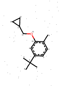 Cc1ccc(C(C)(C)C)cc1OCC1CC1